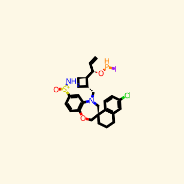 C=C[C@H](OPI)[C@@H]1CC[C@H]1CN1C[C@@]2(CCCc3cc(Cl)ccc32)COc2ccc([S+](N)[O-])cc21